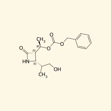 CC(CO)[C@@H]1NC(=O)[C@@H]1[C@@H](C)OC(=O)OCc1ccccc1